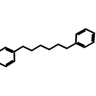 [c]1ccc(CCCCCCc2ccccc2)cc1